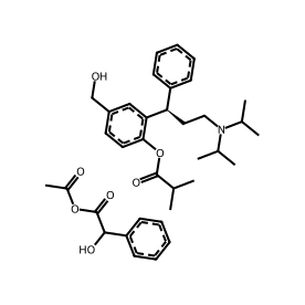 CC(=O)OC(=O)C(O)c1ccccc1.CC(C)C(=O)Oc1ccc(CO)cc1[C@H](CCN(C(C)C)C(C)C)c1ccccc1